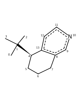 CC(C)(C)[C@@H]1CCCc2cnccc21